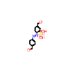 O=CC1=CC(O)(S(=O)(=O)O)C(N=Nc2ccc(C=O)cc2)C=C1